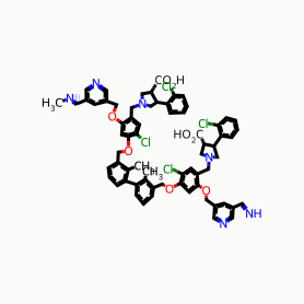 C/N=C/c1cncc(COc2cc(OCc3cccc(-c4cccc(COc5cc(OCc6cncc(C=N)c6)c(CN6CC(C(=O)O)C(c7ccccc7Cl)C6)cc5Cl)c4C)c3C)c(Cl)cc2CN2CC(C(=O)O)C(c3ccccc3Cl)C2)c1